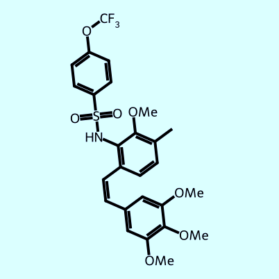 COc1cc(/C=C\c2ccc(C)c(OC)c2NS(=O)(=O)c2ccc(OC(F)(F)F)cc2)cc(OC)c1OC